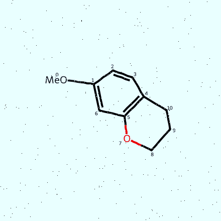 COc1ccc2c(c1)OCC[CH]2